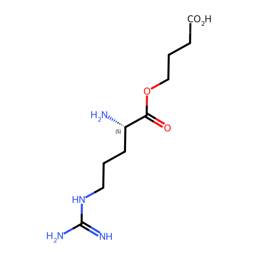 N=C(N)NCCC[C@H](N)C(=O)OCCCC(=O)O